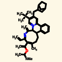 C=C/C1=N/C(=C)C2C(CCC(C)=C1C(=C)OC(C)NC)c1ccccc1-c1cc(CC3CC4CCC3C4)c([Si](C)(C)C)c[n+]12